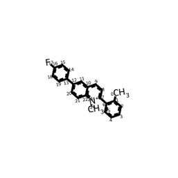 Cc1ccccc1-c1ccc2cc(-c3ccc(F)cc3)ccc2[n+]1C